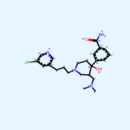 CN(C)CC1CN(CCCc2cncc(F)c2)CCC1(O)c1cccc(C(N)=O)c1